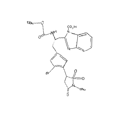 CC(C)(C)OC(=O)N[C@@H](Cc1ccc(C2CC(=O)N(C(C)(C)C)S2(=O)=O)c(Br)c1)c1nc2ccccc2n1C(=O)O